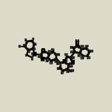 Cc1cccc2c1CCN2c1nc2cc(-c3ccc(C)c4nc(-c5c[nH]c6ccccc56)cn34)ccc2o1